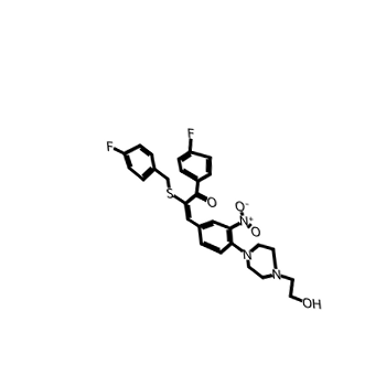 O=C(/C(=C\c1ccc(N2CCN(CCO)CC2)c([N+](=O)[O-])c1)SCc1ccc(F)cc1)c1ccc(F)cc1